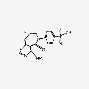 CCC(O)(CC)c1ccc(N2C[C@@H](C)Oc3ncnc(N)c3C2=O)cc1